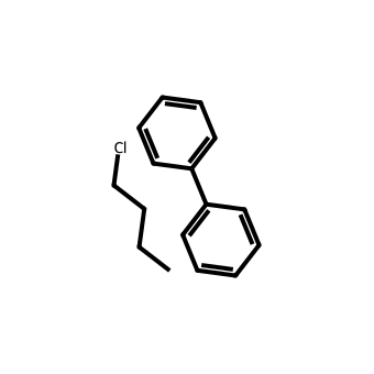 CCCCCl.c1ccc(-c2ccccc2)cc1